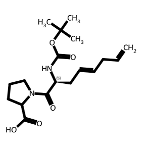 C=CCC=CC[C@H](NC(=O)OC(C)(C)C)C(=O)N1CCCC1C(=O)O